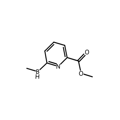 CBc1cccc(C(=O)OC)n1